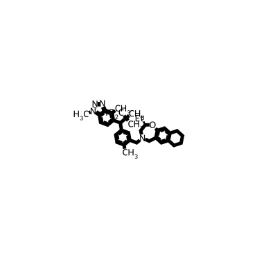 CC[C@@H]1CN(Cc2cc(C(c3ccc4c(nnn4C)c3C)C(C)(C)C(=O)O)ccc2C)Cc2cc3c(cc2O1)CCCC3